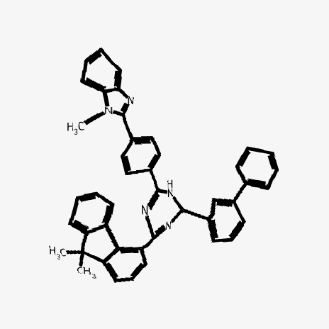 Cn1c(-c2ccc(C3=NC(c4cccc5c4-c4ccccc4C5(C)C)=NC(c4cccc(-c5ccccc5)c4)N3)cc2)nc2ccccc21